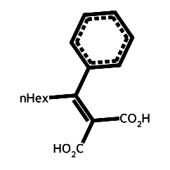 CCCCCCC(=C(C(=O)O)C(=O)O)c1ccccc1